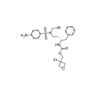 CCC1(COC(=O)N[C@H](CCN(CC(C)C)S(=O)(=O)c2ccc(N)cc2)Cc2ccccc2)COC1